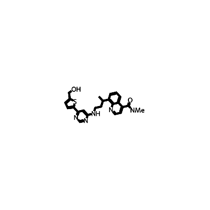 CNC(=O)c1ccnc2c(C(C)CCNc3cc(-c4ccc(CO)s4)ncn3)cccc12